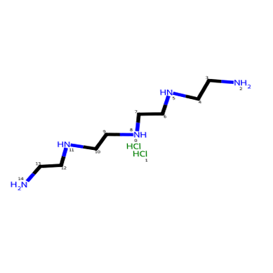 Cl.Cl.NCCNCCNCCNCCN